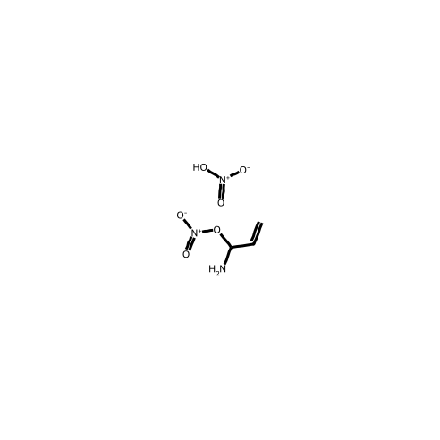 C=CC(N)O[N+](=O)[O-].O=[N+]([O-])O